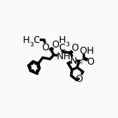 CCOC(=O)C(CCc1ccccc1)N[C@@H](C)C(=O)N1CC2CCOCC2[C@H]1C(=O)O